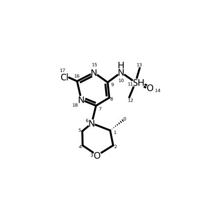 C[C@@H]1COCCN1c1cc(N[SH](C)(C)=O)nc(Cl)n1